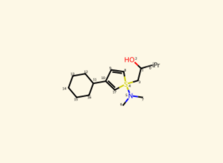 CC(C)C(O)CS1(N(C)C)C=CC(C2CCCCC2)=C1